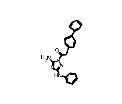 Nc1nc(Nc2ccccc2)nn1C(=O)Cc1ccc(-c2ccccc2)cc1